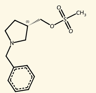 CS(=O)(=O)OC[C@H]1CCN(Cc2ccccc2)C1